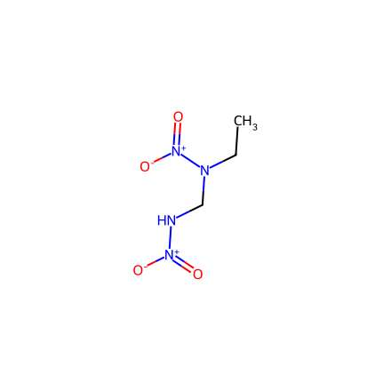 CCN(CN[N+](=O)[O-])[N+](=O)[O-]